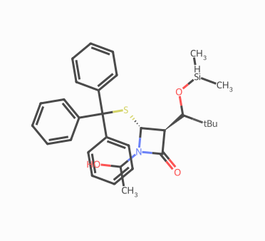 CC(O)N1C(=O)[C@H](C(O[SiH](C)C)C(C)(C)C)[C@H]1SC(c1ccccc1)(c1ccccc1)c1ccccc1